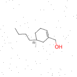 CCCC[C@@]1(C)CCC=C(CO)C1